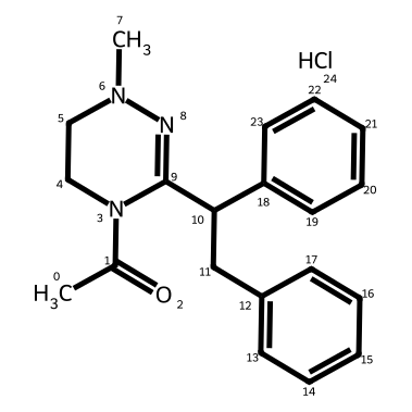 CC(=O)N1CCN(C)N=C1C(Cc1ccccc1)c1ccccc1.Cl